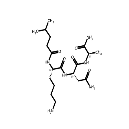 CC(C)CCC(=O)N[C@@H](CCCCN)C(=O)N[C@@H](CC(N)=O)C(=O)N[C@H](C)C(N)=O